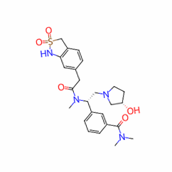 CN(C)C(=O)c1cccc([C@@H](CN2CC[C@H](O)C2)N(C)C(=O)Cc2ccc3c(c2)NS(=O)(=O)C3)c1